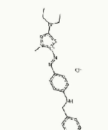 CCN(CC)c1cn(C)[c+](N=Nc2ccc(NCc3ccccc3)cc2)s1.[Cl-]